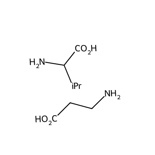 CC(C)C(N)C(=O)O.NCCC(=O)O